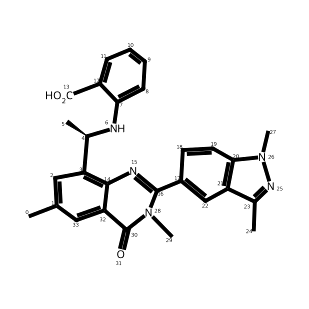 Cc1cc([C@@H](C)Nc2ccccc2C(=O)O)c2nc(-c3ccc4c(c3)c(C)nn4C)n(C)c(=O)c2c1